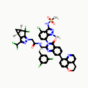 Cn1nc(NS(C)(=O)=O)c2c(Cl)ccc(-n3c([C@H](Cc4cc(F)cc(F)c4)NC(=O)Cn4nc(C(F)F)c5c4C(F)(F)[C@@H]4C[C@H]54)nc4cc(-c5ccc6c7c(ccnc57)CCO6)ccc4c3=O)c21